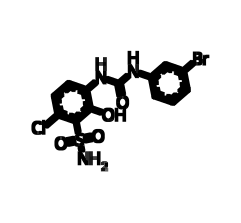 NS(=O)(=O)c1c(Cl)ccc(NC(=O)Nc2cccc(Br)c2)c1O